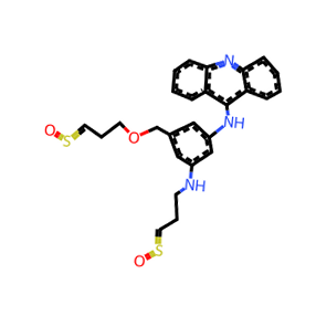 O=S=CCCNc1cc(COCCC=S=O)cc(Nc2c3ccccc3nc3ccccc23)c1